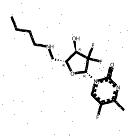 CCCCNC[C@H]1O[C@@H](n2cc(F)c(C)nc2=O)C(F)(F)[C@@H]1O